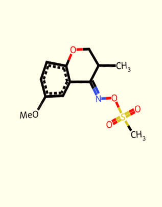 COc1ccc2c(c1)/C(=N/OS(C)(=O)=O)C(C)CO2